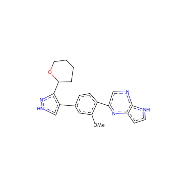 COc1cc(-c2c[nH]nc2C2CCCCO2)ccc1-c1cnc2[nH]ccc2n1